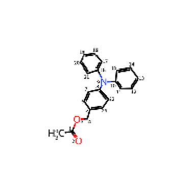 CC(=O)OCc1ccc(N(c2ccccc2)c2ccccc2)cc1